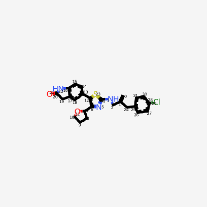 C=C(CNc1nc(C2CCCO2)c(-c2ccc3c(c2)CC(=O)N3)s1)Cc1ccc(Cl)cc1